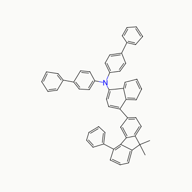 CC1(C)c2ccc(-c3ccc(N(c4ccc(-c5ccccc5)cc4)c4ccc(-c5ccccc5)cc4)c4ccccc34)cc2-c2c(-c3ccccc3)cccc21